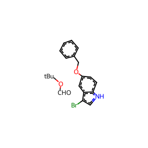 Brc1c[nH]c2ccc(OCc3ccccc3)cc12.CC(C)(C)OC=O